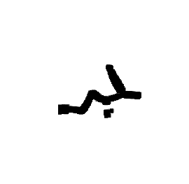 O=[S-](=O)OCCS.[K+]